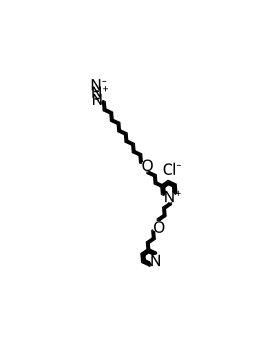 [Cl-].[N-]=[N+]=NCCCCCCCCCCCCOCCCc1ccc[n+](CCCCOCCCc2cccnc2)c1